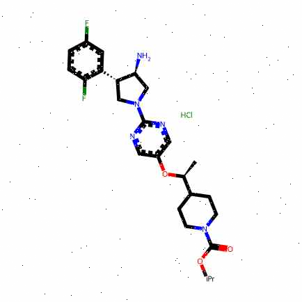 CC(C)OC(=O)N1CCC([C@H](C)Oc2cnc(N3C[C@H](c4cc(F)ccc4F)[C@@H](N)C3)nc2)CC1.Cl